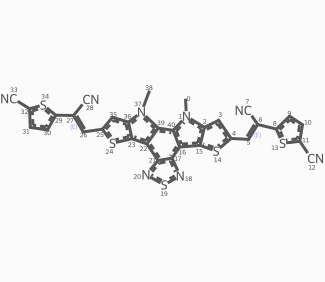 Cn1c2cc(/C=C(\C#N)c3ccc(C#N)s3)sc2c2c3nsnc3c3c4sc(/C=C(\C#N)c5ccc(C#N)s5)cc4n(C)c3c21